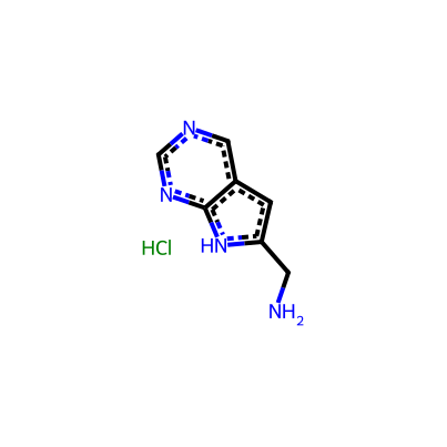 Cl.NCc1cc2cncnc2[nH]1